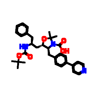 CC(C)(C)OC(=O)N[C@@H](Cc1ccccc1)C[C@@H]1OC(C)(C)N(C(=O)O)[C@H]1Cc1ccc(-c2ccncc2)cc1